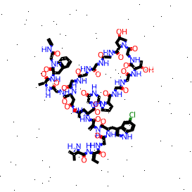 C=CNC(=O)CNC(=O)C(Cc1ccccc1)NC(=O)C(C)NC(=O)CNC(=O)C(CC(N)=O)NC(=O)CNC(=O)CNC(=O)CNC(=O)CNC(=O)C1CC(O)CN1C(=O)CNC(=O)C(NC(=O)CNC(=O)CNC(=O)C1CCCN1C(=O)CNC(=O)CNC(=O)C(CC(C)C)NC(=O)C(=C)NC(=O)C(Cc1c[nH]c2ccc(Cl)cc12)NC(=O)CNC(=O)/C(=C\C)NC(=O)C(N)C(C)C)C(C)O